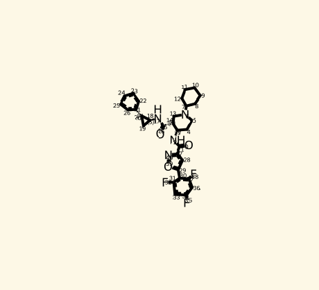 O=C(N[C@@H]1CCN(C2CCCCC2)C[C@H]1C(=O)N[C@H]1C[C@@H]1c1ccccc1)c1cc(-c2c(F)cc(F)cc2F)on1